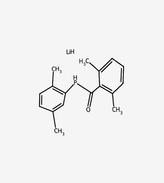 Cc1ccc(C)c(PC(=O)c2c(C)cccc2C)c1.[LiH]